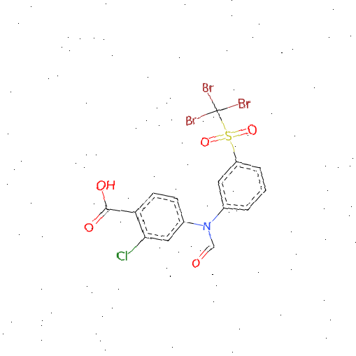 O=CN(c1cccc(S(=O)(=O)C(Br)(Br)Br)c1)c1ccc(C(=O)O)c(Cl)c1